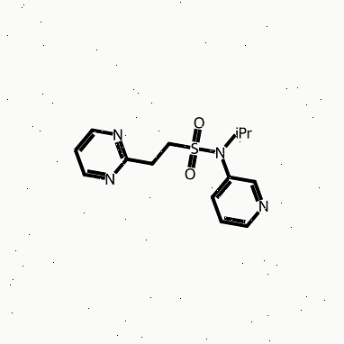 CC(C)N(c1cccnc1)S(=O)(=O)CCc1ncccn1